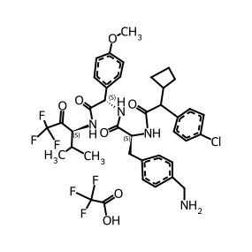 COc1ccc([C@H](NC(=O)[C@H](Cc2ccc(CN)cc2)NC(=O)C(c2ccc(Cl)cc2)C2CCC2)C(=O)N[C@H](C(=O)C(F)(F)F)C(C)C)cc1.O=C(O)C(F)(F)F